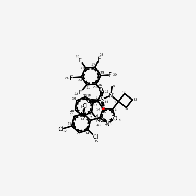 CN(C1(c2onc(-c3c(Cl)cc(Cl)cc3Cl)c2C(=O)Oc2c(F)c(F)c(F)c(F)c2F)CCC1)S(=O)(=O)c1ccccc1[N+](=O)[O-]